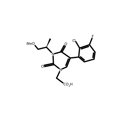 COC[C@@H](C)n1c(=O)c(-c2cccc(F)c2Cl)cn(CC(=O)O)c1=O